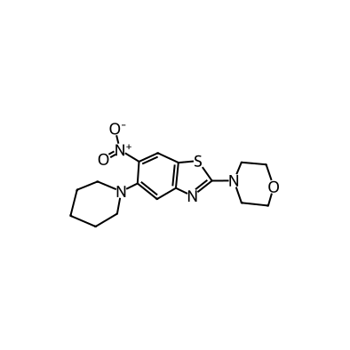 O=[N+]([O-])c1cc2sc(N3CCOCC3)nc2cc1N1CCCCC1